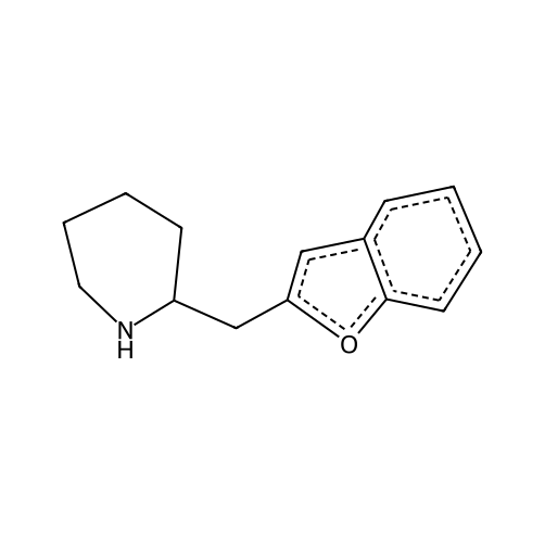 c1ccc2oc(CC3CCCCN3)cc2c1